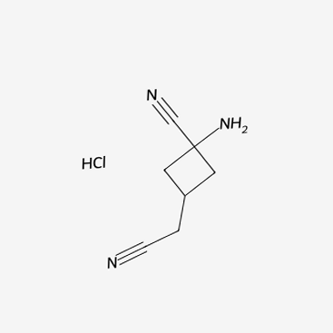 Cl.N#CCC1CC(N)(C#N)C1